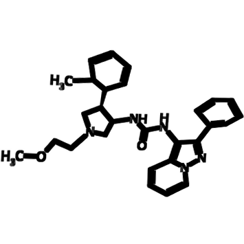 COCCN1CC(NC(=O)Nc2c(-c3ccccc3)nn3ccccc23)[C@H](C2C=CC=CC2C)C1